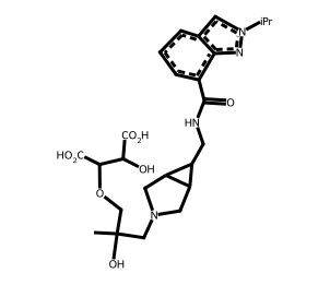 CC(C)n1cc2cccc(C(=O)NCC3C4CN(CC(C)(O)COC(C(=O)O)C(O)C(=O)O)CC34)c2n1